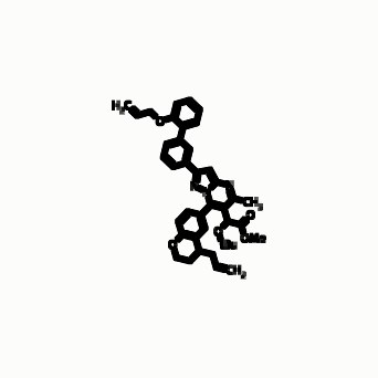 C=CCOc1ccccc1-c1cccc(-c2cc3nc(C)c(C(OC(C)(C)C)C(=O)OC)c(-c4ccc5c(c4)C(CC=C)CCO5)n3n2)c1